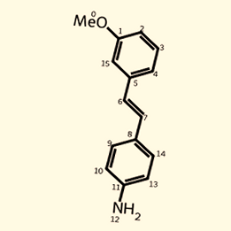 COc1cccc(/C=C/c2ccc(N)cc2)c1